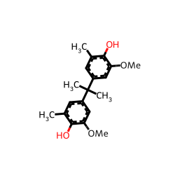 COc1cc(C(C)(C)c2cc(C)c(O)c(OC)c2)cc(C)c1O